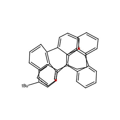 CC(C)(C)c1ccc(N(c2ccccc2-c2ccccc2)c2ccccc2-c2cccc3cccc(C4CCCCC4)c23)cc1